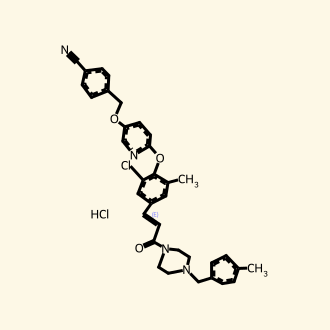 Cc1ccc(CN2CCN(C(=O)/C=C/c3cc(C)c(Oc4ccc(OCc5ccc(C#N)cc5)cn4)c(Cl)c3)CC2)cc1.Cl